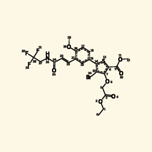 CCOC(=O)COc1c(C(=O)OC)sc(-c2ccc(OC)c(C=CC(=O)NCC(F)(F)F)c2)c1Br